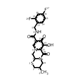 CC1CSC2Cn3cc(C(=O)NCc4ccc(F)cc4F)c(=O)c(O)c3C(=O)N2C1